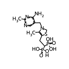 CC1=C(CC(P(=O)(O)O)P(=O)(O)O)SCN1Cc1cnc(C)nc1N